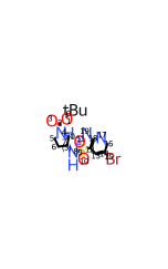 CC(C)(C)OC(=O)N1CC[C@H](NS(=O)(=O)c2cc(Br)cnc2N)C1